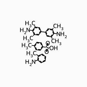 Cc1cc(-c2cc(C)c(N)c(C)c2)cc(C)c1N.Cc1ccc(S(=O)(=O)O)cc1.Cc1ccccc1N